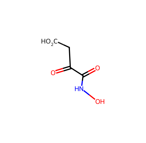 O=C(O)CC(=O)C(=O)NO